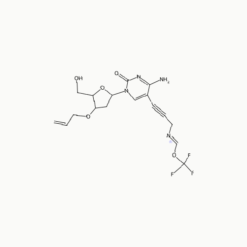 C=CCOC1CC(n2cc(C#CC/N=C/OC(F)(F)F)c(N)nc2=O)OC1CO